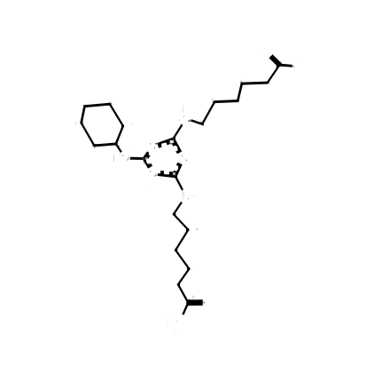 O=C(O)CCCCCNc1nc(NCCCCCC(=O)O)nc(NC2CCCCC2)n1